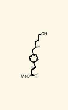 COC(=O)/C=C/c1ccc(CNCCCO)cc1